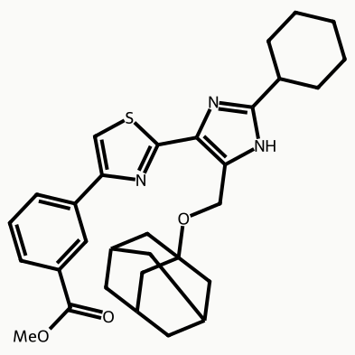 COC(=O)c1cccc(-c2csc(-c3nc(C4CCCCC4)[nH]c3COC34CC5CC(CC(C5)C3)C4)n2)c1